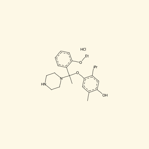 CCOc1ccccc1C(C)(Oc1cc(C)c(O)cc1C(C)C)N1CCNCC1.Cl